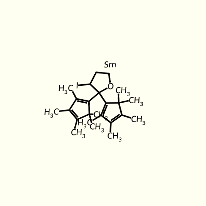 CC1=C(C)C(C)(C)C(C2(C3=C(C)C(C)=C(C)C3(C)C)OCCC2I)=C1C.[Sm]